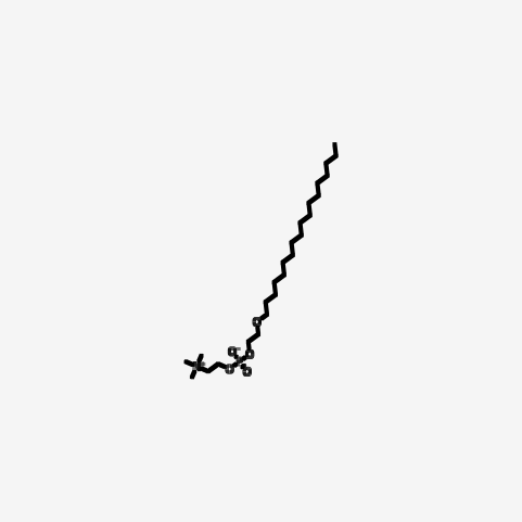 CCCCCCCCCCCCCCCCCCOCCOP(=O)([O-])OCC[N+](C)(C)C